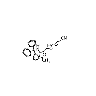 C[C@H]1CC(NC(c2ccccc2)(c2ccccc2)c2ccccc2)[C@@H](COPOCCC#N)O1